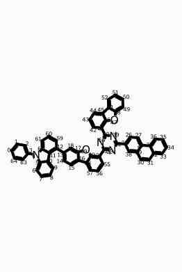 c1ccc(-n2c3ccccc3c3c(-c4ccc5c(c4)oc4c(-c6nc(-c7ccc8c(ccc9ccccc98)c7)nc(-c7cccc8c7oc7ccccc78)n6)cccc45)cccc32)cc1